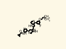 CN(C)CCOc1cc(F)cc(-c2nccc3[nH]c(-c4n[nH]c5cnc(-c6cncc(NC(=O)C7CC7)c6)cc45)cc23)c1